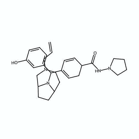 C=CCN1CCC2CCC(C1)N2C(C1=CCC(C(=O)NN2CCCC2)C=C1)c1cccc(O)c1